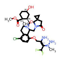 COC(=O)[C@@]1(C)CC[C@@H](O)C[C@H]1C(=O)N1CCc2c(Cl)ccc(OC/C(N)=C(\C(F)F)N(C)N)c2C1CN1CC2(CC2)CC1=O